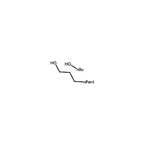 CCCCCCCCO.CCCCO